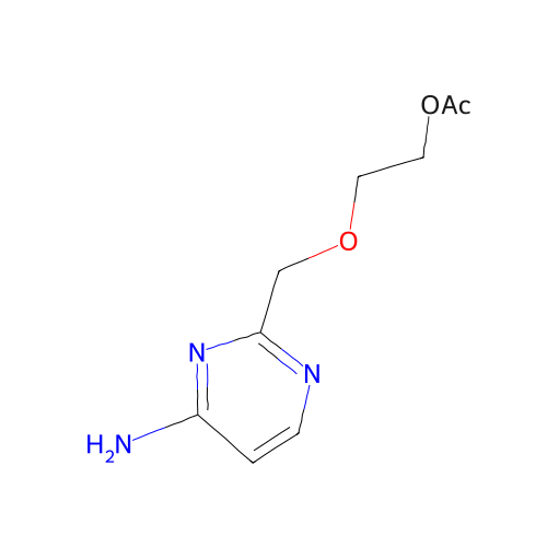 CC(=O)OCCOCc1nccc(N)n1